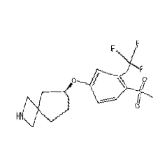 CS(=O)(=O)c1ccc(O[C@H]2CCC3(CNC3)C2)cc1C(F)(F)F